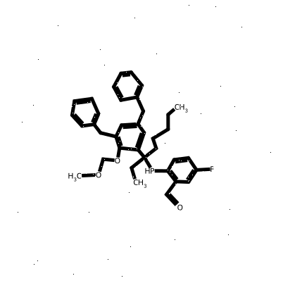 CCCCCC(CC)(Pc1ccc(F)cc1C=O)c1cc(Cc2ccccc2)cc(Cc2ccccc2)c1OCOC